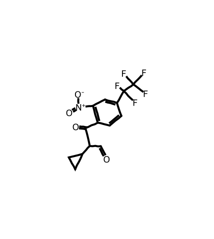 O=CC(C(=O)c1ccc(C(F)(F)C(F)(F)F)cc1[N+](=O)[O-])C1CC1